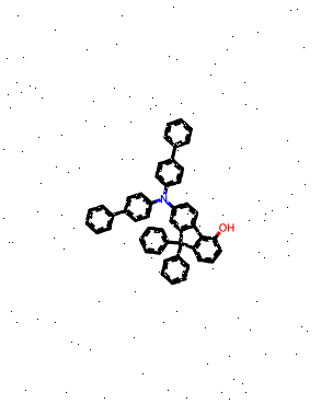 Oc1cccc2c1-c1ccc(N(c3ccc(-c4ccccc4)cc3)c3ccc(-c4ccccc4)cc3)cc1C2(c1ccccc1)c1ccccc1